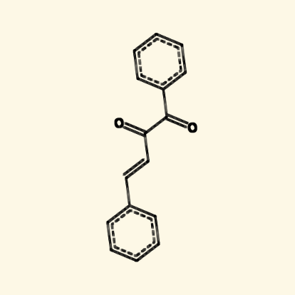 O=C(/C=C/c1ccccc1)C(=O)c1ccccc1